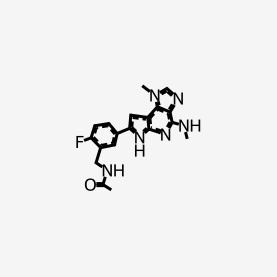 CNc1nc2[nH]c(-c3ccc(F)c(CNC(C)=O)c3)cc2c2c1ncn2C